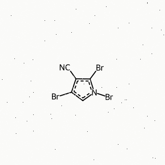 N#Cc1c(Br)cn(Br)c1Br